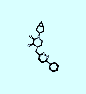 O=C1C(=O)N(C2CC3CC3C2)CCN1Cc1ccc(-c2ccccc2)nn1